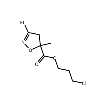 CCC1=NOC(C)(C(=O)OCCCCl)C1